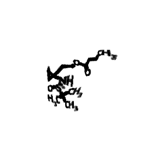 CCCC(=O)OCCC1(N[S+]([O-])C(C)(C)C)CC1